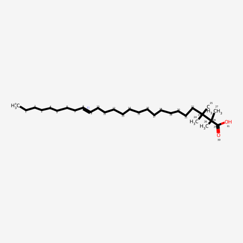 CCCCCCCC/C=C/CCCCCCCCCCCCCC(C)(C)C(C)(C)C(=O)O